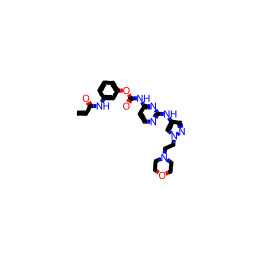 C=CC(=O)Nc1cccc(OC(=O)Nc2ccnc(Nc3cnn(CCN4CCOCC4)c3)n2)c1